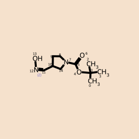 CC(C)(C)OC(=O)N1CCC(/C=N\O)C1